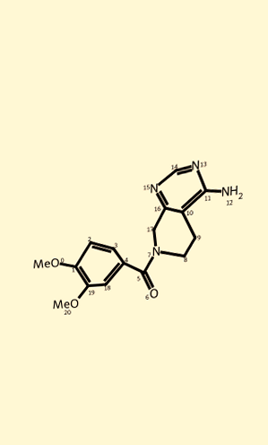 COc1ccc(C(=O)N2CCc3c(N)ncnc3C2)cc1OC